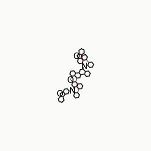 c1ccc(-c2ccccc2N(c2ccc3c(c2)Oc2cccc4c2c-3cc2c3ccccc3c(N(c3ccc5oc6ccccc6c5c3)c3ccccc3-c3ccccc3)cc42)c2ccc3oc4ccccc4c3c2)cc1